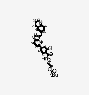 CC(C)(C)C(=O)OCCONC(=O)c1ccc(-c2ccc3nnn(Cc4ccc5ncccc5c4)c3n2)cc1Cl